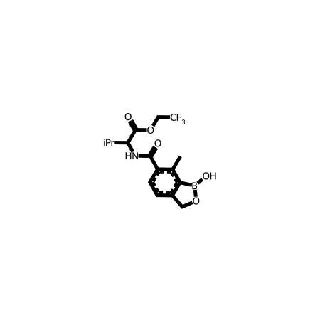 Cc1c(C(=O)NC(C(=O)OCC(F)(F)F)C(C)C)ccc2c1B(O)OC2